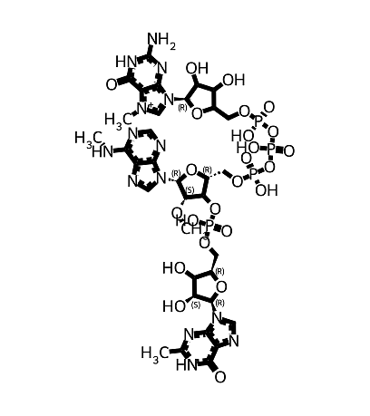 CNc1ncnc2c1ncn2[C@@H]1O[C@H](COP(=O)(O)OP(=O)(O)OP(=O)(O)OCC2O[C@@H](n3c[n+](C)c4c(=O)[nH]c(N)nc43)C(O)C2O)C(OP(=O)(O)OC[C@H]2O[C@@H](n3cnc4c(=O)[nH]c(C)nc43)[C@@H](O)C2O)[C@@H]1OC